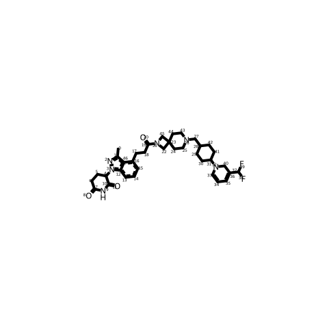 Cc1nn(C2CCC(=O)NC2=O)c2cccc(CCC(=O)N3CC4(CCN(CC5CCC(N6C=CC=C(C(F)F)C6)CC5)CC4)C3)c12